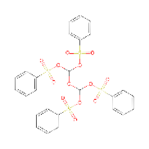 O=S(=O)(OC(OC(OS(=O)(=O)c1ccccc1)OS(=O)(=O)c1ccccc1)OS(=O)(=O)c1ccccc1)c1ccccc1